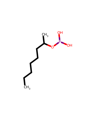 CCCCCCC(C)OP(O)O